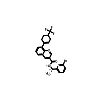 C[C@H](NC(=O)c1cnc2c(C3=CCC(C(F)(F)F)CC3)cccc2c1)c1cccc(Br)n1